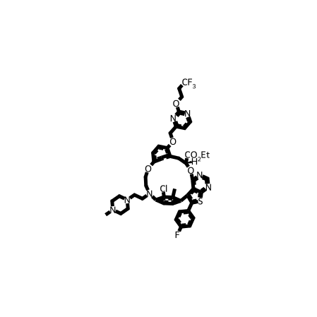 CCOC(=O)[C@H]1Cc2cc(ccc2OCc2ccnc(OCCC(F)(F)F)n2)OCCN(CCN2CCN(C)CC2)c2ccc(c(C)c2Cl)-c2c(-c3ccc(F)cc3)sc3ncnc(c23)O1